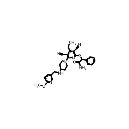 CCc1c(C#N)c(SC(C(N)=O)c2ccccc2)nc(N2CCC(NCc3ccc(OC)nc3)CC2)c1C#N